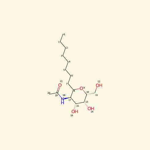 CCCCCCCCC1O[C@H](CO)[C@H](O)[C@H](O)[C@H]1NC(C)=O